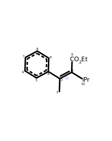 CCOC(=O)/C(=C(/C)c1ccccc1)C(C)C